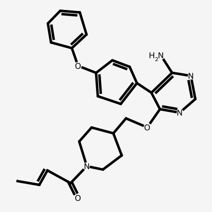 CC=CC(=O)N1CCC(COc2ncnc(N)c2-c2ccc(Oc3ccccc3)cc2)CC1